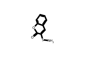 NSc1cc2ccccc2oc1=O